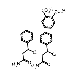 NC(=O)CC(Cl)c1ccccc1.NC(=O)CC(Cl)c1ccccc1.O=C(O)c1ccccc1C(=O)O